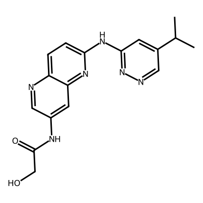 CC(C)c1cnnc(Nc2ccc3ncc(NC(=O)CO)cc3n2)c1